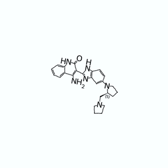 Nc1c(-c2nc3cc(N4CCC[C@H]4CN4CCCC4)ccc3[nH]2)c(=O)[nH]c2ccccc12